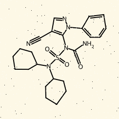 N#Cc1cnn(-c2ccccc2)c1N(C(N)=O)S(=O)(=O)N(C1CCCCC1)C1CCCCC1